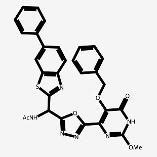 COc1nc(-c2nnc(C(NC(C)=O)c3nc4ccc(-c5ccccc5)cc4s3)o2)c(OCc2ccccc2)c(=O)[nH]1